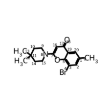 Cc1cc(Br)c2oc(N3CCC(C)(C)CC3)cc(=O)c2c1